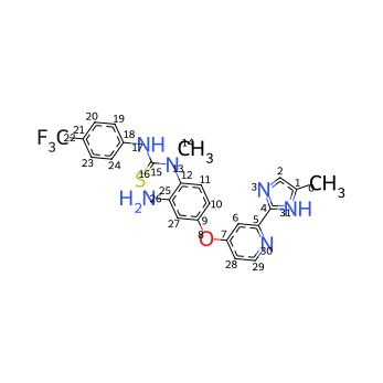 Cc1cnc(-c2cc(Oc3ccc(N(C)C(=S)Nc4ccc(C(F)(F)F)cc4)c(N)c3)ccn2)[nH]1